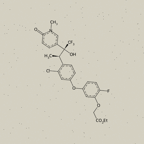 CCOC(=O)COc1cc(Oc2ccc([C@@H](C)[C@@](O)(c3ccc(=O)n(C)c3)C(F)(F)F)c(Cl)c2)ccc1F